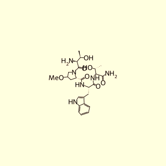 COC1C[C@@H](C(=O)N[C@@H](Cc2c[nH]c3ccccc23)C(=O)N[C@H](C(N)=O)[C@@H](C)O)N(C(=O)[C@@H](N)[C@@H](C)O)C1